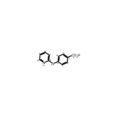 O=C(O)c1ccc(Sc2ccccn2)cc1